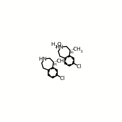 C[C@H]1CNCCc2ccc(Cl)cc21.C[C@H]1CNCCc2ccc(Cl)cc21.O